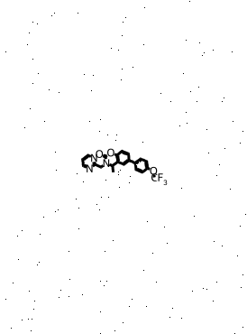 CC1c2cc(-c3ccc(OC(F)(F)F)cc3)ccc2OC(=O)N1Cc1ncccn1